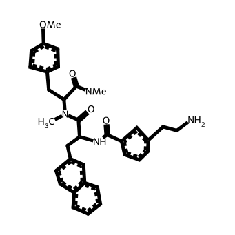 CNC(=O)C(Cc1ccc(OC)cc1)N(C)C(=O)C(Cc1ccc2ccccc2c1)NC(=O)c1cccc(CCN)c1